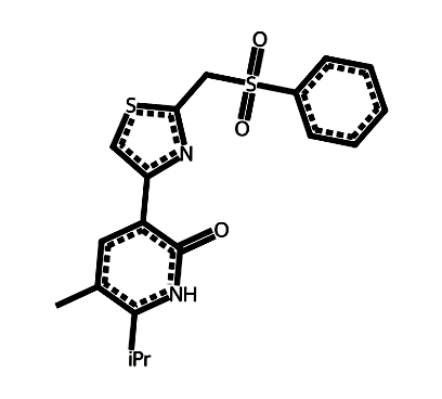 Cc1cc(-c2csc(CS(=O)(=O)c3ccccc3)n2)c(=O)[nH]c1C(C)C